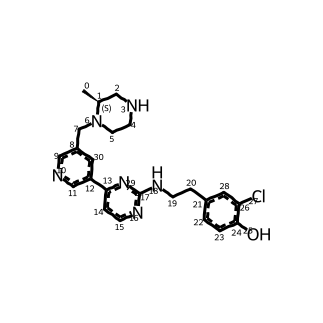 C[C@H]1CNCCN1Cc1cncc(-c2ccnc(NCCc3ccc(O)c(Cl)c3)n2)c1